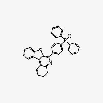 O=P(c1ccccc1)(c1ccccc1)c1ccc(-c2nc3c(c4c2sc2ccccc24)C=CCC3)cc1